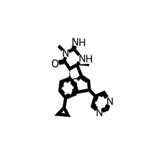 CN1C(=N)N[C@](C)(C2=CC(c3cncnc3)CS2)[C@H](c2ccc(C3CC3)cc2)C1=O